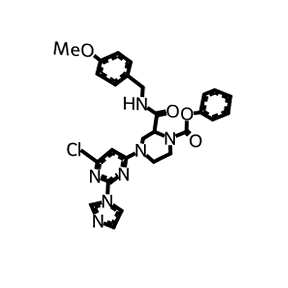 COc1ccc(CNC(=O)C2CN(c3cc(Cl)nc(-n4ccnc4)n3)CCN2C(=O)Oc2ccccc2)cc1